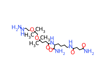 CC(C)(CCC(=O)NC(CCCCNC(=O)CCC(N)=O)C(N)=O)OCC(C)(C)OCCNN